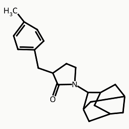 Cc1ccc(CC2CCN(C3C4CC5CC(C4)CC3C5)C2=O)cc1